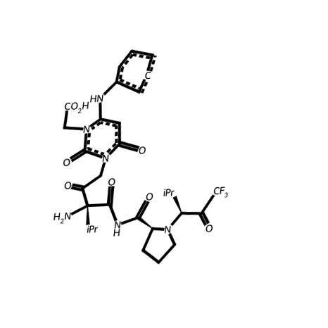 CC(C)[C@@H](C(=O)C(F)(F)F)N1CCC[C@H]1C(=O)NC(=O)[C@](N)(C(=O)Cn1c(=O)cc(Nc2ccccc2)n(CC(=O)O)c1=O)C(C)C